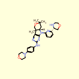 CC1(C)C[C@@H]2N(c3cccc([C@H]4COCCN4)n3)c3nc(Nc4ccc(N5CCOCC5)cc4)ncc3[C@]2(C)CO1